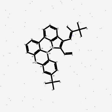 C=Cc1c(/C=C(\C)C(C)(C)C)c2cccc3c2n1B1c2ccc(C(C)(C)C)cc2Oc2cccc-3c21